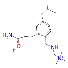 CC(C)Cc1ccc(CNC[N+](C)(C)C)c(CCC(N)=O)c1.[I-]